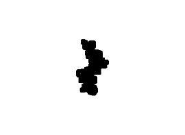 CCOC(=O)C1CCC(OC(C(=O)Cc2cc(Cl)c(NC(=O)c3cn(C)c4ccccc34)cc2Cl)(N2CCCC2)N2CC(C)(C)C2)CC1